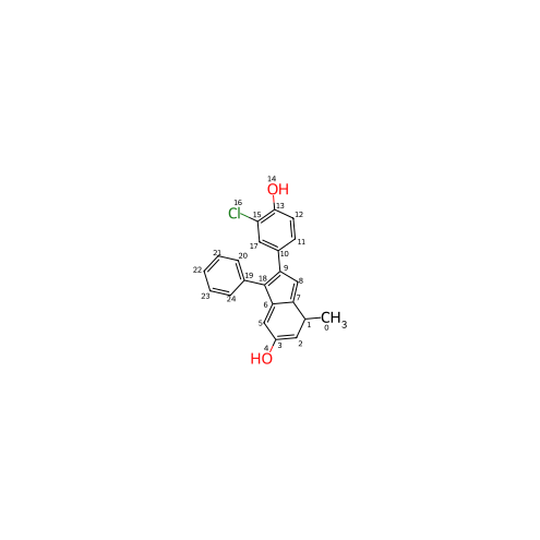 CC1C=C(O)C=C2C1=CC(c1ccc(O)c(Cl)c1)=C2c1ccccc1